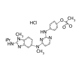 CC(C)Nc1nc2cc(N(C)c3ccnc(Nc4ccc(OS(C)(=O)=O)cc4)n3)ccc2n1C.Cl